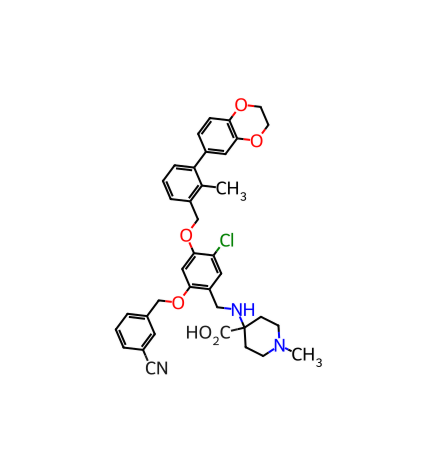 Cc1c(COc2cc(OCc3cccc(C#N)c3)c(CNC3(C(=O)O)CCN(C)CC3)cc2Cl)cccc1-c1ccc2c(c1)OCCO2